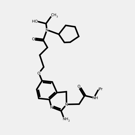 CC(C)NC(=O)CN1Cc2cc(OCCCC(=O)N(C(C)O)C3CCCCC3)ccc2N=C1N